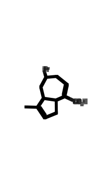 CC1=CCC2C(C(=O)O)=CCC(C(C)C)CC12